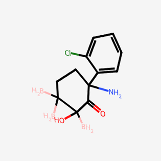 BC1(B)CCC(N)(c2ccccc2Cl)C(=O)C1(B)O